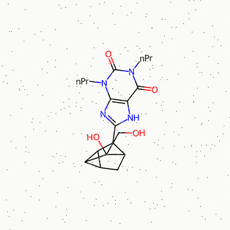 CCCn1c(=O)c2[nH]c(C3C4C5CC3C(O)(CO)C54)nc2n(CCC)c1=O